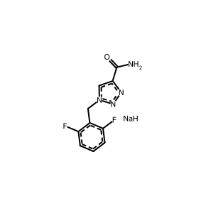 NC(=O)c1cn(Cc2c(F)cccc2F)nn1.[NaH]